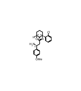 COc1ccc([C@@H](N)CC2=N[C@@]3(c4ccccc4Cl)CCC[C@@H](O2)C3=O)cc1